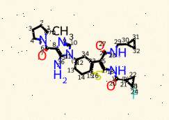 C[C@H]1CCCN1C(=O)c1ncn([C@H]2CCc3sc(NC(=O)[C@H]4C[C@H]4F)c(C(=O)NCC4CC4)c3C2)c1N